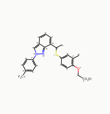 CCOC(=O)COc1ccc(SC(C)c2cccc3cn(-c4ccc(C(F)(F)F)cc4)nc23)cc1C